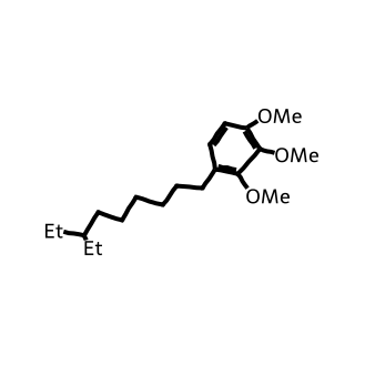 CCC(CC)CCCCCCc1ccc(OC)c(OC)c1OC